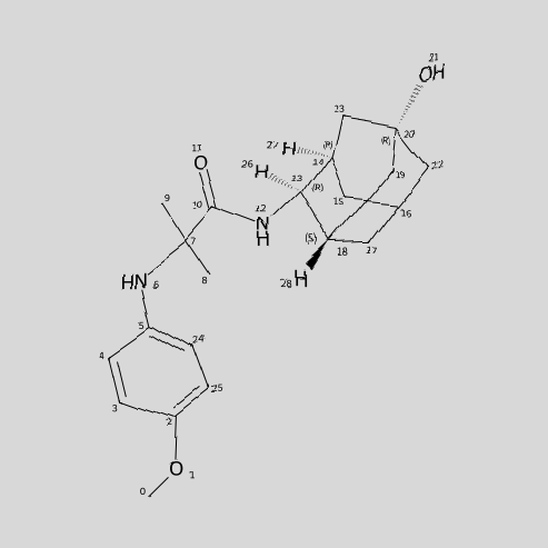 COc1ccc(NC(C)(C)C(=O)N[C@H]2[C@@H]3CC4C[C@H]2C[C@](O)(C4)C3)cc1